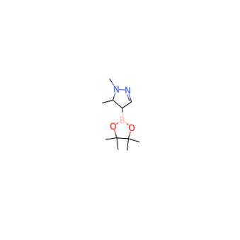 CC1C(B2OC(C)(C)C(C)(C)O2)C=NN1C